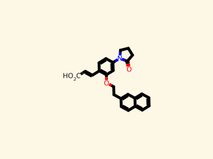 O=C(O)C=Cc1ccc(N2CCCC2=O)cc1OCCc1ccc2ccccc2c1